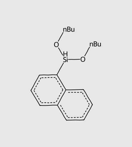 CCCCO[SiH](OCCCC)c1cccc2ccccc12